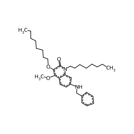 CCCCCCCCOc1c(OC)c2ccc(NCc3ccccc3)cc2n(CCCCCCCC)c1=O